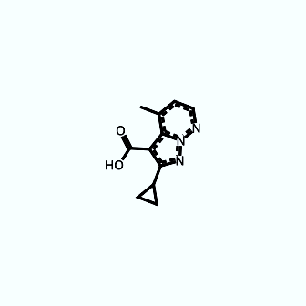 Cc1ccnn2nc(C3CC3)c(C(=O)O)c12